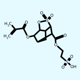 C=C(C)C(=O)OC1C2CC3C1OS(=O)(=O)C3C2C(=O)OCCS(=O)(=O)O